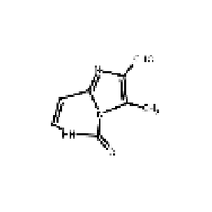 Cc1c(C=O)nc2cc[nH]c(=O)n12